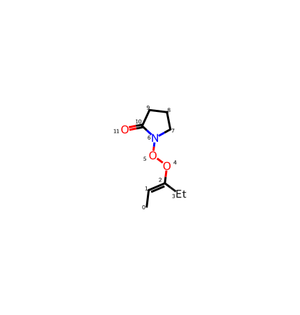 CC=C(CC)OON1CCCC1=O